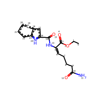 CCOC(=O)C(=CCCCC(N)=O)NC(=O)c1cc2ccccc2[nH]1